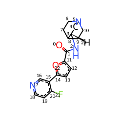 O=C(N[C@H]1CN2CCC1CC2)c1ccc(-c2cnccc2F)o1